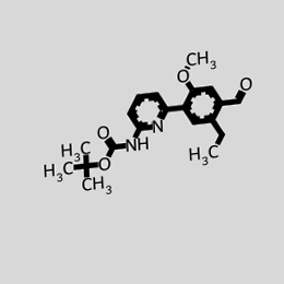 CCc1cc(-c2cccc(NC(=O)OC(C)(C)C)n2)c(OC)cc1C=O